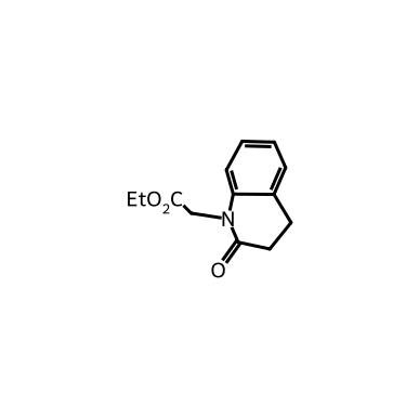 CCOC(=O)CN1C(=O)CCc2ccccc21